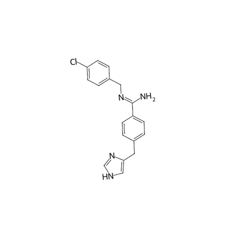 NC(=NCc1ccc(Cl)cc1)c1ccc(Cc2c[nH]cn2)cc1